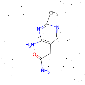 Cc1ncc(CC(N)=O)c(N)n1